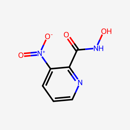 O=C(NO)c1ncccc1[N+](=O)[O-]